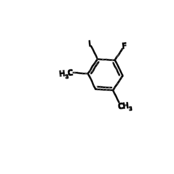 Cc1cc(C)c(I)c(F)c1